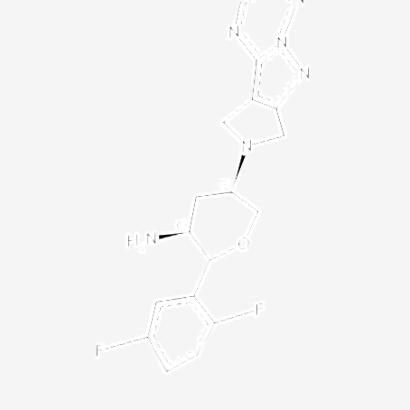 N[C@H]1C[C@@H](N2Cc3nn4nccnc4c3C2)COC1c1cc(F)ccc1F